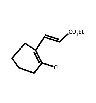 CCOC(=O)C=CC1=C(Cl)CCCC1